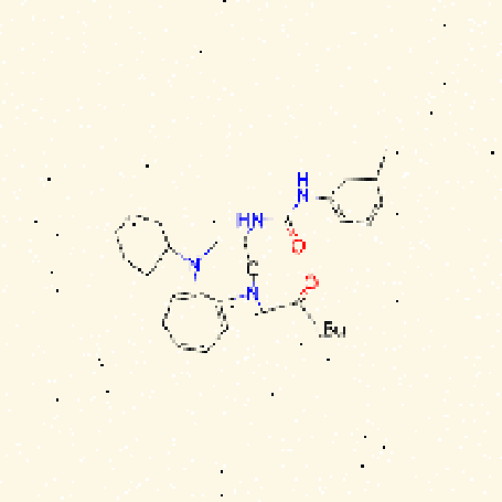 Cc1cccc(NC(=O)NC2CN(CC(=O)C(C)(C)C)C3=CC=CCC=C3N(C3CCCCC3)C2)c1